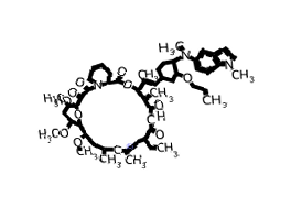 CCCOC1CC(C=C(C)C2OC(=O)C3CCCCN3C(=O)C(=O)C3(O)OC(C(OC)CC(C)C/C(C)=C/C(CC)C(=O)CC(O)C2C)C(OC)CC3C)CCC1N(C)c1ccc2c(ccn2C)c1